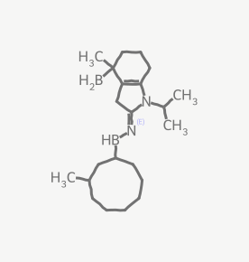 BC1(C)CCCC2=C1C/C(=N\BC1CCCCCCC(C)C1)N2C(C)C